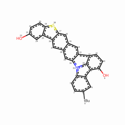 CC(C)(C)c1ccc2c(c1)c1c(O)ccc3c4cc5cc6sc7ccc(O)cc7c6cc5cc4n2c31